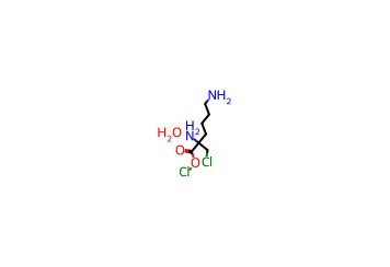 NCCCCC(N)(CCl)C(=O)OCl.O